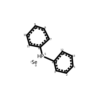 [Se].c1ccc(Pc2ccccc2)cc1